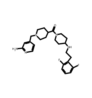 Nc1cc(CN2CCC(C(=O)N3CCC(NCCc4c(F)cccc4F)CC3)CC2)ccn1